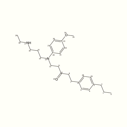 CCCc1ccc(CCC(=O)CCN(CCCNCC)c2ccc(OC)cc2)cc1